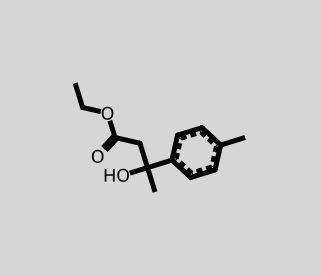 CCOC(=O)CC(C)(O)c1ccc(C)cc1